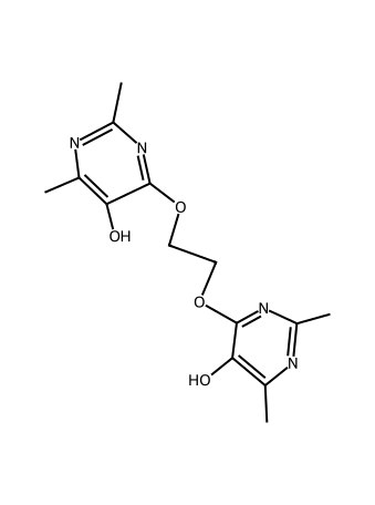 Cc1nc(C)c(O)c(OCCOc2nc(C)nc(C)c2O)n1